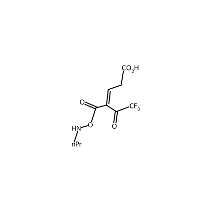 CCCNOC(=O)C(=CCC(=O)O)C(=O)C(F)(F)F